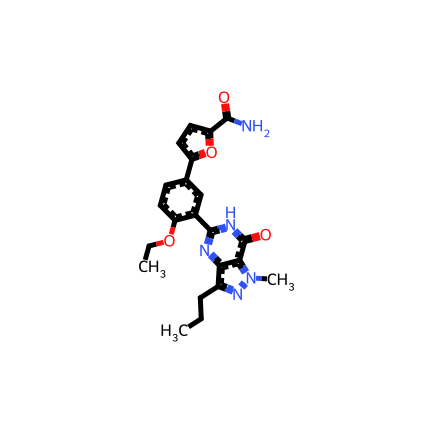 CCCc1nn(C)c2c(=O)[nH]c(-c3cc(-c4ccc(C(N)=O)o4)ccc3OCC)nc12